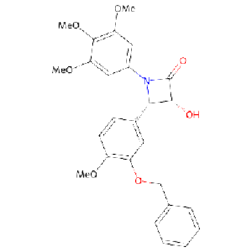 COc1ccc([C@H]2[C@@H](O)C(=O)N2c2cc(OC)c(OC)c(OC)c2)cc1OCc1ccccc1